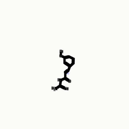 CCOc1cccc(/C=C/C(=O)NC(=N)N)c1